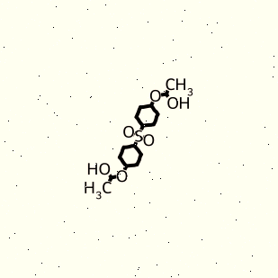 CC(O)OC1CCC(S(=O)(=O)C2CCC(OC(C)O)CC2)CC1